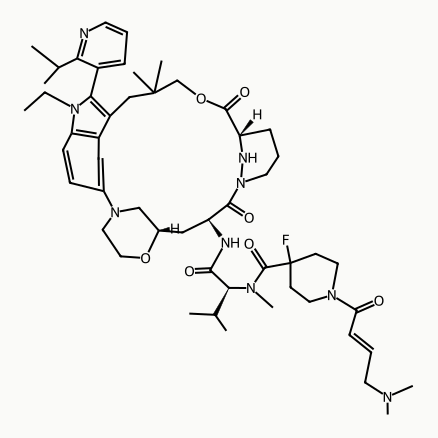 CCn1c(-c2cccnc2C(C)C)c2c3cc(ccc31)N1CCO[C@@H](C[C@H](NC(=O)[C@H](C(C)C)N(C)C(=O)C3(F)CCN(C(=O)/C=C/CN(C)C)CC3)C(=O)N3CCC[C@H](N3)C(=O)OCC(C)(C)C2)C1